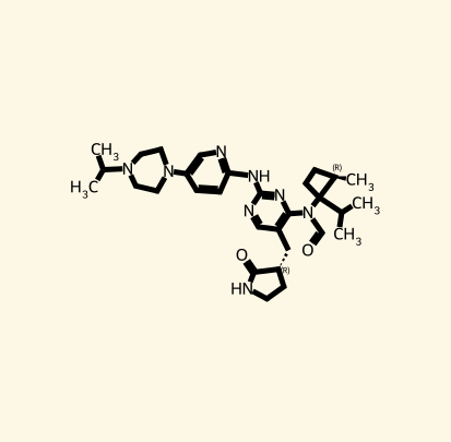 CC(C)N1CCN(c2ccc(Nc3ncc(C[C@@H]4CCNC4=O)c(N(C=O)C4(C(C)C)CC[C@H]4C)n3)nc2)CC1